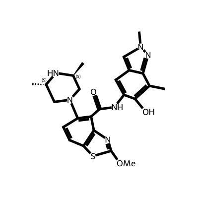 COc1nc2c(C(=O)Nc3cc4cn(C)nc4c(C)c3O)c(N3C[C@H](C)N[C@@H](C)C3)ccc2s1